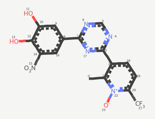 Cc1c(-c2ncnc(-c3cc(O)c(O)c([N+](=O)[O-])c3)n2)ccc(C(F)(F)F)[n+]1[O-]